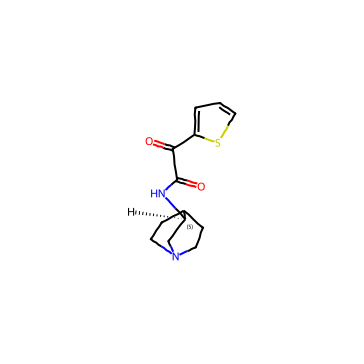 O=C(N[C@@H]1CN2CCC1CC2)C(=O)c1cccs1